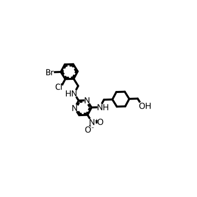 O=[N+]([O-])c1cnc(NCc2cccc(Br)c2Cl)nc1NCC1CCC(CO)CC1